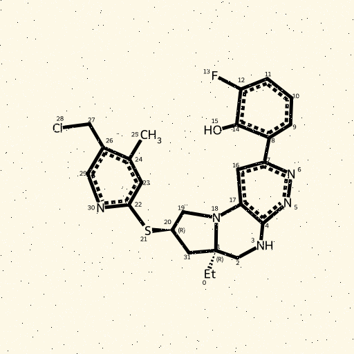 CC[C@@]12CNc3nnc(-c4cccc(F)c4O)cc3N1C[C@H](Sc1cc(C)c(CCl)cn1)C2